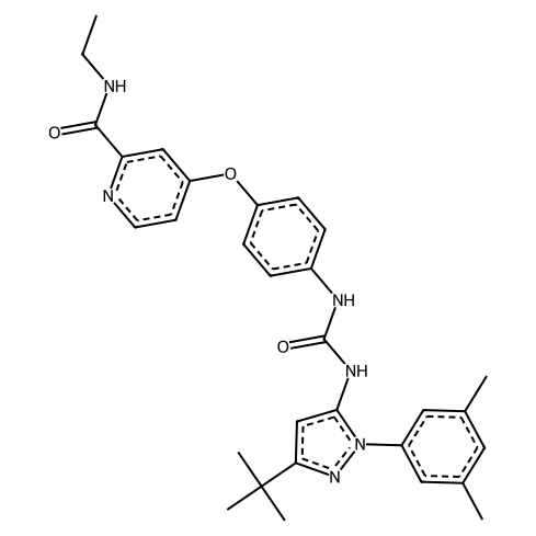 CCNC(=O)c1cc(Oc2ccc(NC(=O)Nc3cc(C(C)(C)C)nn3-c3cc(C)cc(C)c3)cc2)ccn1